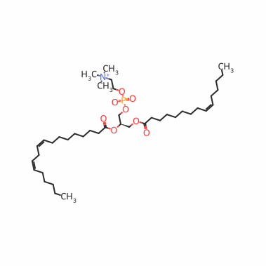 CCCCC/C=C\C/C=C\CCCCCCCC(=O)O[C@H](COC(=O)CCCCCCC/C=C\CCCCC)COP(=O)([O-])OCC[N+](C)(C)C